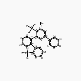 CC(C)(C)c1c(F)cc(-c2ccccc2)cc1-c1cccc2c1-c1ccccc1C2(C)C